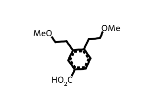 COCCc1ccc(C(=O)O)cc1CCOC